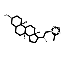 CCC[C@H]1CC[C@H]2C(CC[C@@H]3C2CC[C@@]2(C)C3CCC2[C@@H](C)Cn2nnnc2C)C1